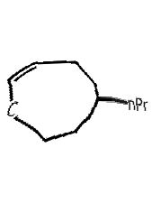 C[CH]CC1CC=CCCC1